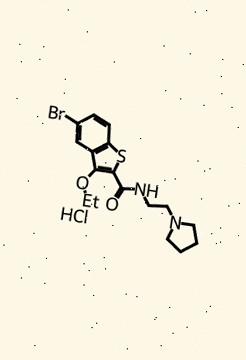 CCOc1c(C(=O)NCCN2CCCC2)sc2ccc(Br)cc12.Cl